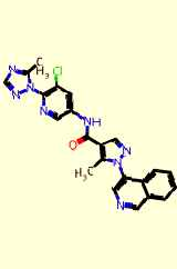 Cc1ncnn1-c1ncc(NC(=O)c2cnn(-c3cncc4ccccc34)c2C)cc1Cl